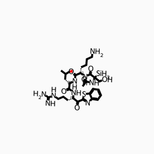 CC(=O)NC([SiH3])(CO)C(=O)N[C@@H](CCCCN)C(=O)N[C@@H](CC(C)C)C(=O)N[C@@H](CCCNC(=N)N)C(=O)c1nc2ccccc2s1